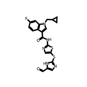 O=Cc1cnc(Sc2cnc(NC(=O)c3cn(CC4CC4)c4cc(F)ccc34)s2)[nH]1